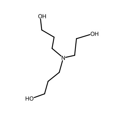 OCCCN(CCO)CCCO